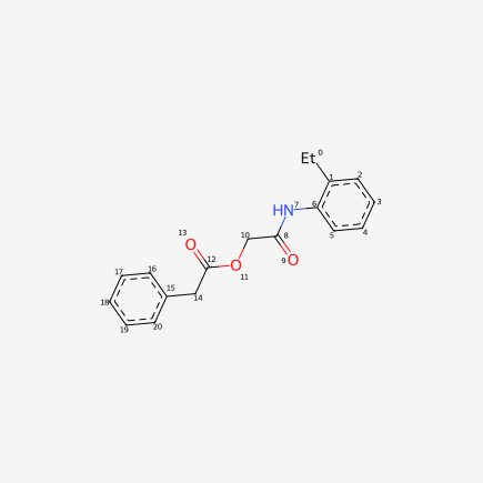 CCc1ccccc1NC(=O)COC(=O)Cc1ccccc1